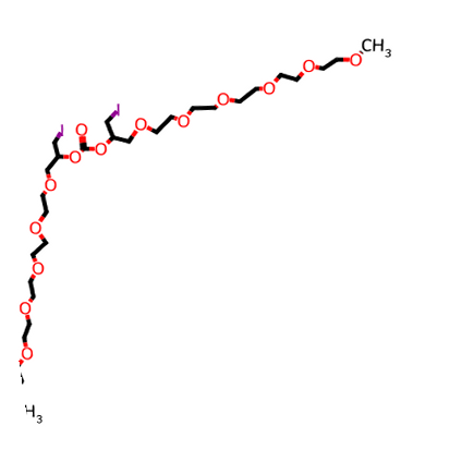 COCCOCCOCCOCCOCCOCC(CI)OC(=O)OC(CI)COCCOCCOCCOCCOCCOC